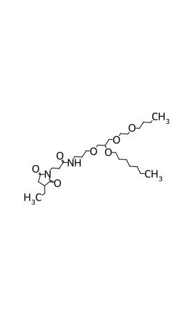 CCCCCCCOC(COCCCNC(=O)CCN1C(=O)CC(CC)C1=O)COCCOCCCC